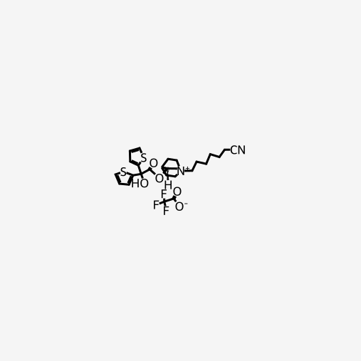 N#CCCCCCC[N+]12CCC(CC1)[C@@H](OC(=O)C(O)(c1cccs1)c1cccs1)C2.O=C([O-])C(F)(F)F